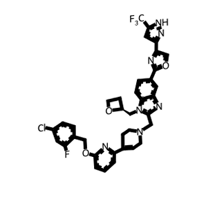 Fc1cc(Cl)ccc1COc1cccc(C2=CCN(Cc3nc4cc(-c5nc(-c6cc(C(F)(F)F)[nH]n6)co5)ccc4n3C[C@@H]3CCO3)CC2)n1